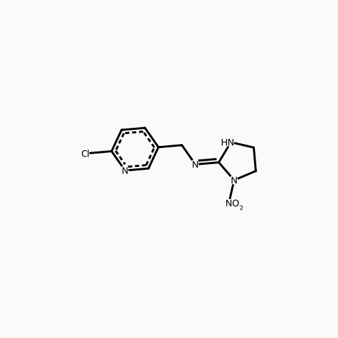 O=[N+]([O-])N1CCNC1=NCc1ccc(Cl)nc1